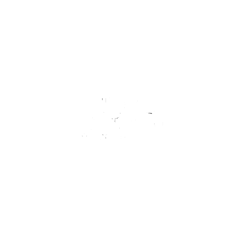 Cl.O=c1ccn([C@H]2CC[C@@H](CO)O2)c(=O)[nH]1